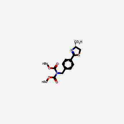 CCCCOC(=O)N(Cc1ccc(C2=N[C@H](C(=O)O)CS2)cc1)C(=O)OCCCC